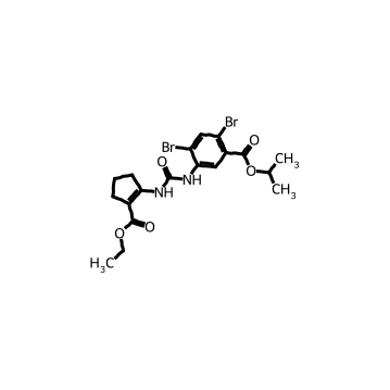 CCOC(=O)C1=C(NC(=O)Nc2cc(C(=O)OC(C)C)c(Br)cc2Br)CCC1